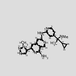 CN[C@@](C)(c1ccnc(Nc2cc3cc(-c4cnnn4C)nc(N)c3cn2)c1)C1CC1